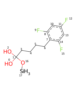 OC(O)(CCCCc1c(F)cc(F)cc1F)O[SiH3]